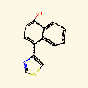 Oc1ccc(-c2cscn2)c2ccccc12